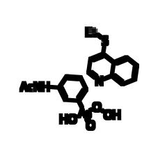 CC(=O)Nc1cccc([As](=O)(O)OO)c1.CCSc1ccnc2ccccc12